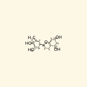 CC1=CC([C@@H]2CCC3C(=CC(O)CC3O)O2)CC(O)=C1O